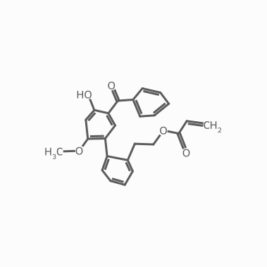 C=CC(=O)OCCc1ccccc1-c1cc(C(=O)c2ccccc2)c(O)cc1OC